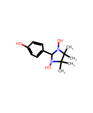 CC1(C)N(O)C(c2ccc(O)cc2)N(O)C1(C)C